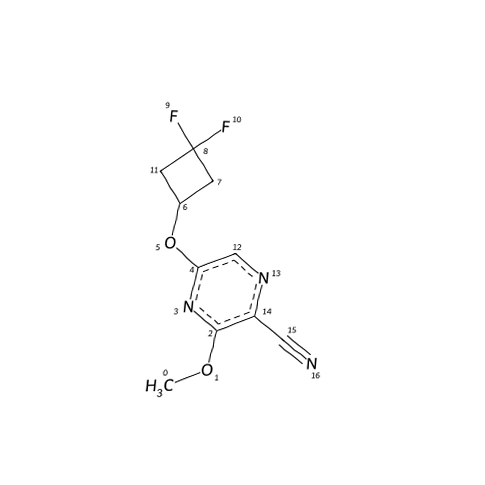 COc1nc(OC2CC(F)(F)C2)cnc1C#N